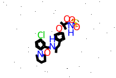 CC(Cc1ccc(OC(C)(C)C(=O)NS(C)(=O)=O)cc1)NC(=O)c1cc(Cl)ccc1N1CCCCC1